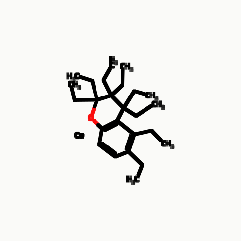 CCc1ccc2c(c1CC)C(CC)(CC)C(CC)(CC)C(CC)(CC)O2.[Cu]